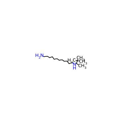 CC(NCCCCCCCCCCCCN)C(C)(C)C